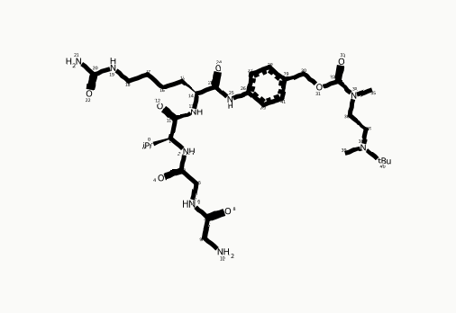 CC(C)[C@H](NC(=O)CNC(=O)CN)C(=O)N[C@@H](CCCCNC(N)=O)C(=O)Nc1ccc(COC(=O)N(C)CCN(C)C(C)(C)C)cc1